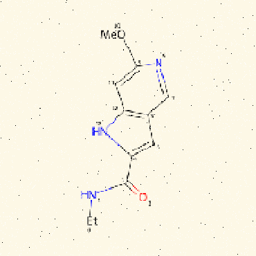 CCNC(=O)c1cc2cnc(OC)cc2[nH]1